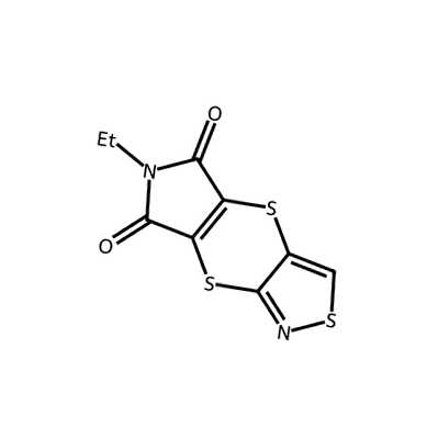 CCn1c(=O)c2sc3csnc3sc=2c1=O